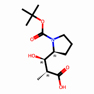 C[C@@H](C(=O)O)[C@@H](O)[C@@H]1CCCN1C(=O)OC(C)(C)C